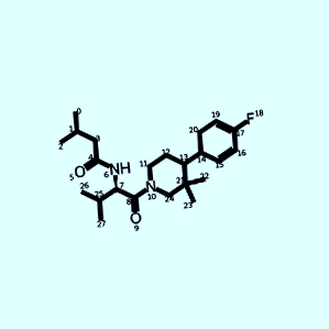 CC(C)CC(=O)N[C@@H](C(=O)N1CCC(C2C=CC(F)=CC2)C(C)(C)C1)C(C)C